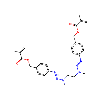 C=C(C)C(=O)OCc1ccc(/N=N/N(C)CCN(C)/N=N/c2ccc(COC(=O)C(=C)C)cc2)cc1